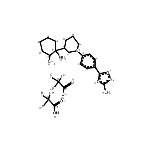 Cc1nnc(-c2ccc(N3CCCC(C4(N)CCCCC4N)C3)cc2)o1.O=C(O)C(F)(F)F.O=C(O)C(F)(F)F